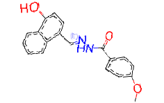 COc1ccc(C(=O)N/N=C/c2ccc(O)c3ccccc23)cc1